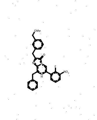 COCc1cccc(Cc2nc3c(Cc4ccccc4)[nH]c(-c4cccc([N+](=O)[O-])c4F)cn-3c2=O)c1